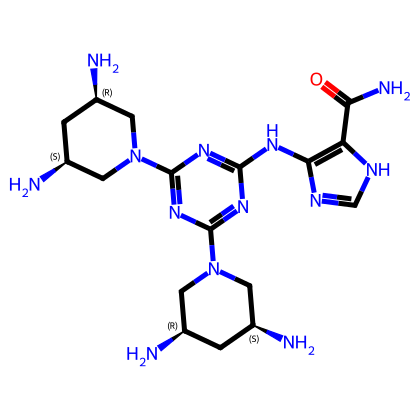 NC(=O)c1[nH]cnc1Nc1nc(N2C[C@H](N)C[C@H](N)C2)nc(N2C[C@H](N)C[C@H](N)C2)n1